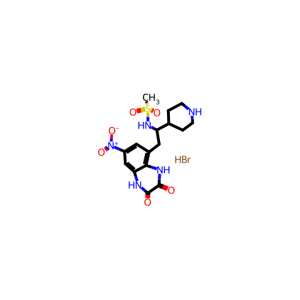 Br.CS(=O)(=O)NC(Cc1cc([N+](=O)[O-])cc2[nH]c(=O)c(=O)[nH]c12)C1CCNCC1